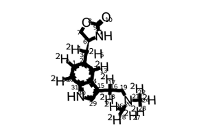 [2H]c1c(C([2H])([2H])[C@H]2COC(=O)N2)c([2H])c2c(C([2H])([2H])CN(C([2H])([2H])[2H])C([2H])([2H])[2H])c[nH]c2c1[2H]